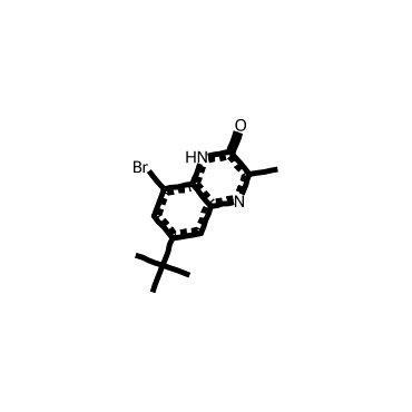 Cc1nc2cc(C(C)(C)C)cc(Br)c2[nH]c1=O